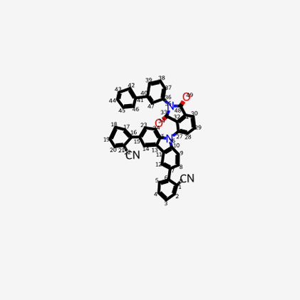 N#Cc1ccccc1-c1ccc2c(c1)c1cc(-c3ccccc3C#N)ccc1n2-c1cccc2c1C(=O)N(c1cccc(-c3ccccc3)c1)C2=O